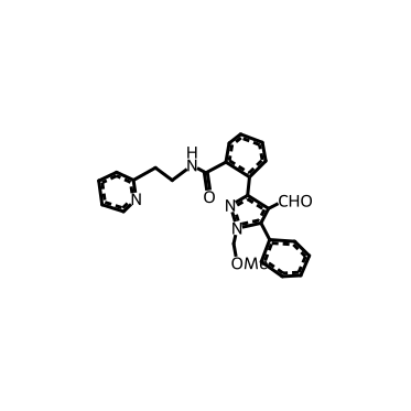 COCn1nc(-c2ccccc2C(=O)NCCc2ccccn2)c(C=O)c1-c1ccccc1